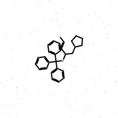 I/C=C/C(CC1CCCC1)OC(c1ccccc1)(c1ccccc1)c1ccccc1